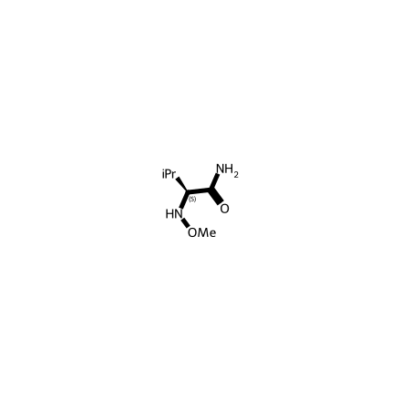 CON[C@H](C(N)=O)C(C)C